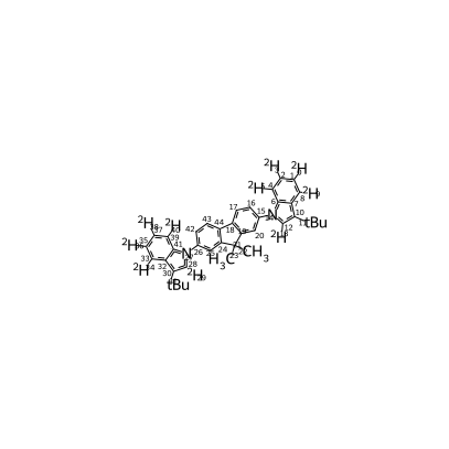 [2H]c1c([2H])c([2H])c2c(c1[2H])c(C(C)(C)C)c([2H])n2-c1ccc2c(c1)C(C)(C)c1cc(-n3c([2H])c(C(C)(C)C)c4c([2H])c([2H])c([2H])c([2H])c43)ccc1-2